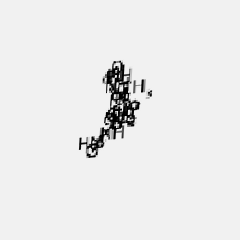 COc1nc(-c2cccc(-c3cccc(-c4cc(C)n5c(=O)c(CNC[C@H]6CCC(=O)N6)cnc5c4)c3Cl)c2Cl)ccc1CNC[C@H]1CCC(=O)N1